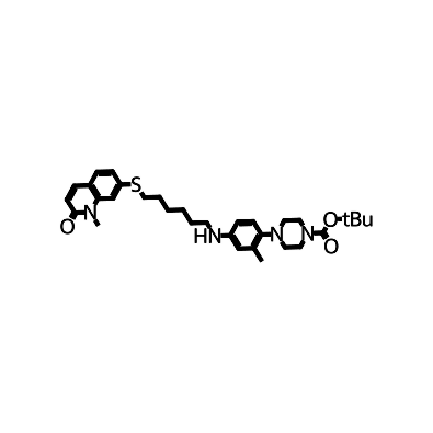 Cc1cc(NCCCCCCSc2ccc3ccc(=O)n(C)c3c2)ccc1N1CCN(C(=O)OC(C)(C)C)CC1